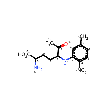 Cc1ccc([N+](=O)[O-])c(NC(CCC(N)C(=O)O)C(=O)C(F)(F)F)c1